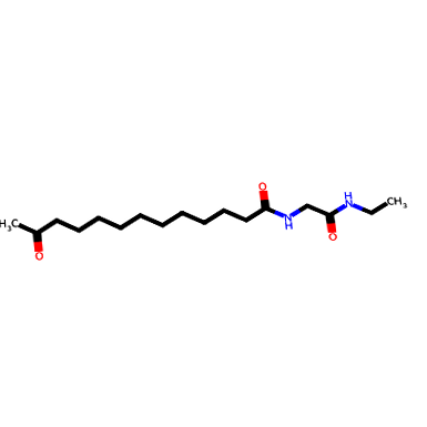 CCNC(=O)CNC(=O)CCCCCCCCCCC(C)=O